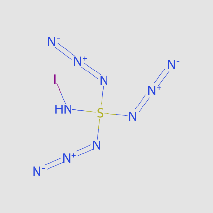 [N-]=[N+]=NS(N=[N+]=[N-])(N=[N+]=[N-])NI